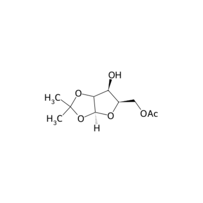 CC(=O)OC[C@H]1O[C@H]2OC(C)(C)OC2[C@H]1O